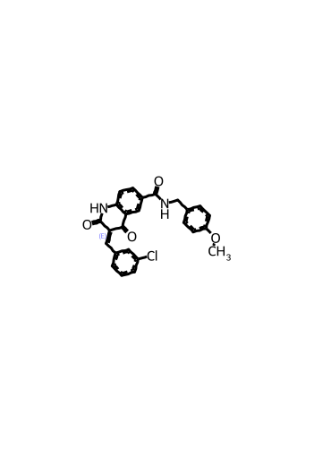 COc1ccc(CNC(=O)c2ccc3c(c2)C(=O)/C(=C\c2cccc(Cl)c2)C(=O)N3)cc1